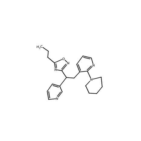 CCCc1nc(C(Cc2cccnc2N2CCCCC2)c2cccnc2)no1